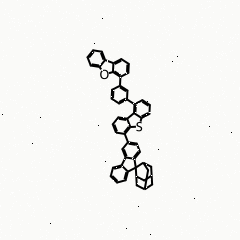 c1cc(-c2cccc3c2oc2ccccc23)cc(-c2cccc3sc4c(-c5ccc6c(c5)-c5ccccc5C65C6CC7CC(C6)CC5C7)cccc4c23)c1